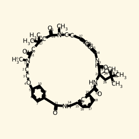 CN1CCOc2ccc(cc2)C(=O)NCc2cccc(c2)C(=O)N[C@](C)(CC(C)(C)C)C(=O)Nc2ccc(cc2)CCN(C)C(=O)CC(C)(C)CC1=O